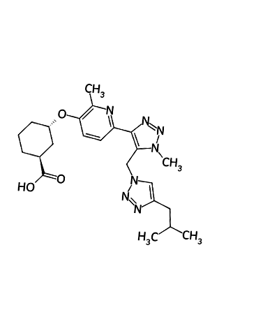 Cc1nc(-c2nnn(C)c2Cn2cc(CC(C)C)nn2)ccc1O[C@H]1CCC[C@H](C(=O)O)C1